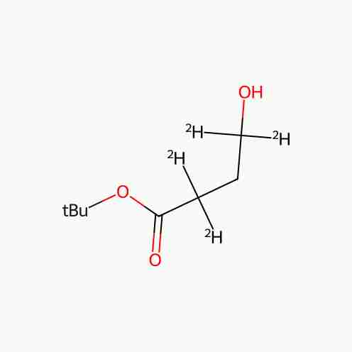 [2H]C([2H])(O)CC([2H])([2H])C(=O)OC(C)(C)C